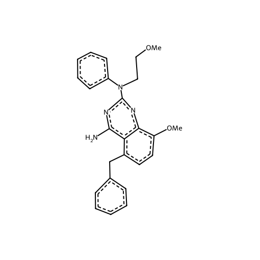 COCCN(c1ccccc1)c1nc(N)c2c(Cc3ccccc3)ccc(OC)c2n1